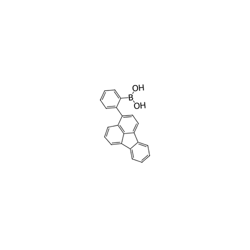 OB(O)c1ccccc1-c1ccc2c3c(cccc13)-c1ccccc1-2